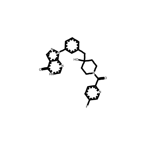 O=C(c1ccc(F)cn1)N1CCC(O)(Cc2cccc(-n3ncc4c(=O)[nH]cnc43)c2)CC1